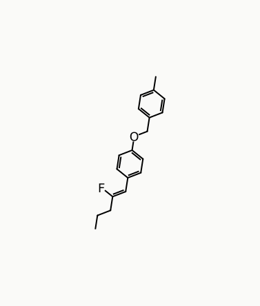 CCCC(F)=Cc1ccc(OCc2ccc(C)cc2)cc1